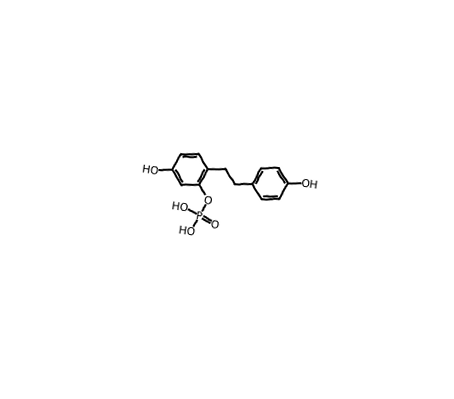 O=P(O)(O)Oc1cc(O)ccc1CCc1ccc(O)cc1